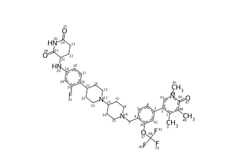 Cc1c(-c2ccc(CN3CCC(N4CCC(c5ccc(NC6CCC(=O)NC6=O)cc5F)CC4)CC3)c(OC(F)(F)F)c2)cn(C)c(=O)c1C